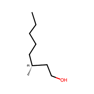 CCCCC[C@@H](C)CCO